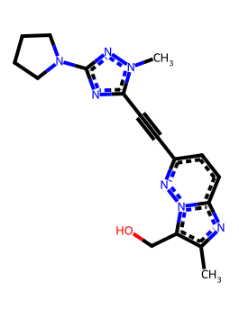 Cc1nc2ccc(C#Cc3nc(N4CCCC4)nn3C)nn2c1CO